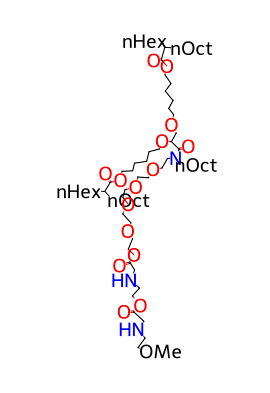 CCCCCCCCC(CCCCCC)C(=O)OCCCCCCOCC(OCCCCCCOC(=O)C(CCCCCC)CCCCCCCC)C(=O)N(CCCCCCCC)CCOCCOCCOCCOCCOC(=O)CNCCOC(=O)CNCCOC